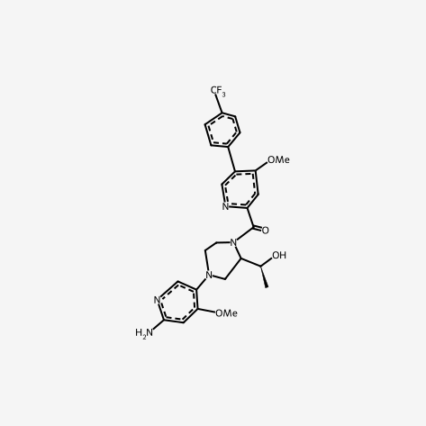 COc1cc(C(=O)N2CCN(c3cnc(N)cc3OC)CC2[C@H](C)O)ncc1-c1ccc(C(F)(F)F)cc1